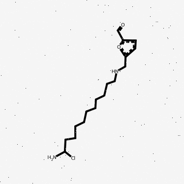 NC(Cl)CCCCCCCCCCNCc1ccc(C=O)o1